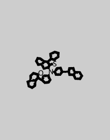 c1ccc2cc(-c3ccc(N(c4cccc5c4oc4ccc6ccccc6c45)c4cc5ccccc5c5c4sc4ccccc45)cc3)ccc2c1